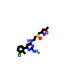 Cc1cc(C[S+]([O-])CCNc2cc(-c3cccc(Cl)c3C)nc(N)n2)no1